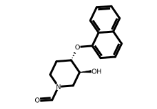 O=CN1CC[C@H](Oc2cccc3ccccc23)[C@@H](O)C1